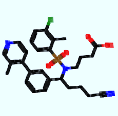 Cc1cnccc1-c1cccc(C(CCCC#N)N(CCCC(=O)O)S(=O)(=O)c2cccc(Cl)c2C)c1